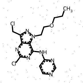 CCCOCCn1nc(CCl)c2nc(Cl)nc(Nc3ccncn3)c21